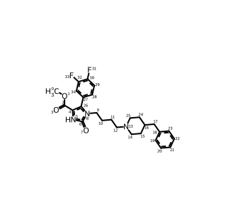 COC(=O)c1[nH]c(=O)n(CCCCN2CCC(Cc3ccccc3)CC2)c1-c1ccc(F)c(F)c1